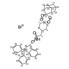 O=C(CC1CCC2(CC1)OOC1(OO2)C2CC3CC(C2)CC1C3)NCCC[P+](c1ccccc1)(c1ccccc1)c1ccccc1.[Br-]